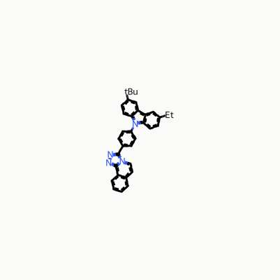 CCc1ccc2c(c1)c1cc(C(C)(C)C)ccc1n2-c1ccc(-c2nnc3c4ccccc4ccn23)cc1